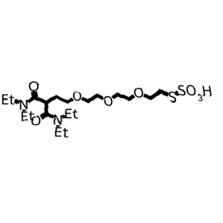 CCN(CC)C(=O)C(CCOCCOCCOCCSS(=O)(=O)O)C(=O)N(CC)CC